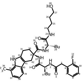 CCC(C)[C@H](NC(=O)Cc1ccccc1F)C(=O)N[C@]1(C(=O)N[C@H](C(=O)NCCCCO)C(C)CC)CCc2[nH]c3c(C(F)(F)F)cccc3c2C1